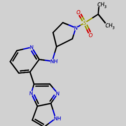 CC(C)S(=O)(=O)N1CCC(Nc2ncccc2-c2cnc3[nH]ccc3n2)C1